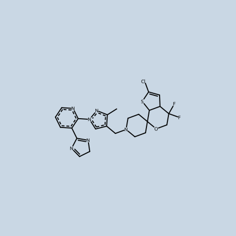 Cc1nn(-c2ncccc2C2=NCC=N2)cc1CN1CCC2(CC1)OCC(F)(F)C1C=C(Cl)SC12